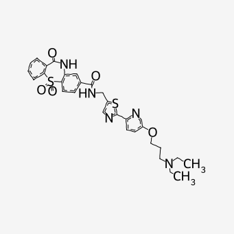 CCN(CC)CCCOc1ccc(-c2ncc(CNC(=O)c3ccc4c(c3)NC(=O)c3ccccc3S4(=O)=O)s2)nc1